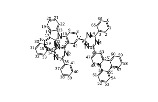 c1ccc(-c2nc(-c3ccc(-n4c5ccccc5c5ccccc54)c(-c4nc(-c5ccccc5)nc(-c5ccccc5)n4)c3)nc(-c3ccc4c5ccccc5c5ccccc5c4c3)n2)cc1